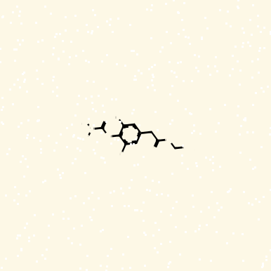 CCOC(=O)Cc1cc(Br)c(OC(=S)N(C)C)c(Br)c1